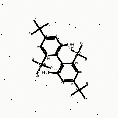 CC(C)(C)c1cc(O)c(-c2c(O)cc(C(C)(C)C)cc2[Si](C)(C)C)c([Si](C)(C)C)c1